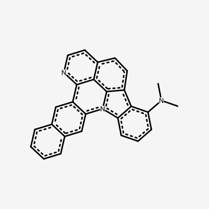 CN(C)c1cccc2c1c1ccc3ccnc4c5cc6ccccc6cc5n2c1c34